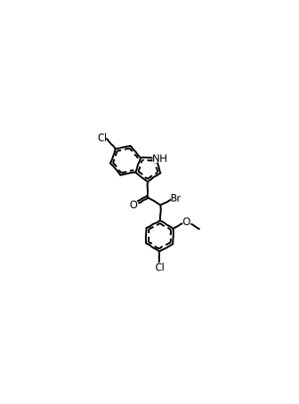 COc1cc(Cl)ccc1C(Br)C(=O)c1c[nH]c2cc(Cl)ccc12